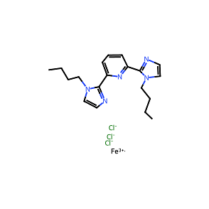 CCCCn1ccnc1-c1cccc(-c2nccn2CCCC)n1.[Cl-].[Cl-].[Cl-].[Fe+3]